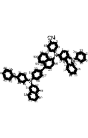 N#Cc1ccc(N(c2ccc3c(c2)c2ccccc2n3-c2ccccc2)c2ccc(-c3ccc(N(c4ccc(-c5ccccc5)cc4)c4ccc5ccccc5c4)cc3)c3ccccc23)cc1